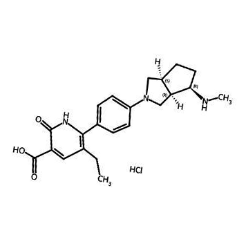 CCc1cc(C(=O)O)c(=O)[nH]c1-c1ccc(N2C[C@H]3CC[C@@H](NC)[C@H]3C2)cc1.Cl